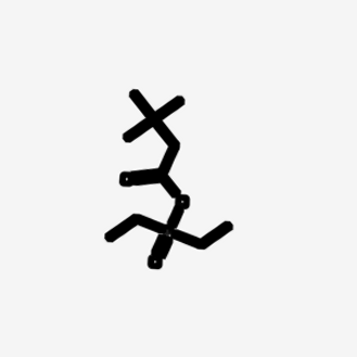 CCP(=O)(CC)OC(=O)CC(C)(C)C